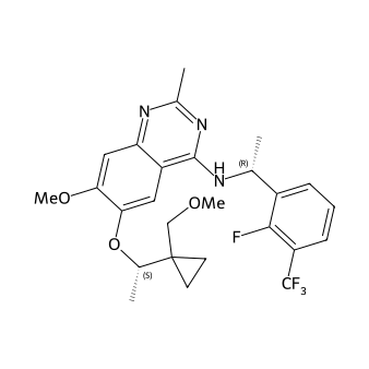 COCC1([C@H](C)Oc2cc3c(N[C@H](C)c4cccc(C(F)(F)F)c4F)nc(C)nc3cc2OC)CC1